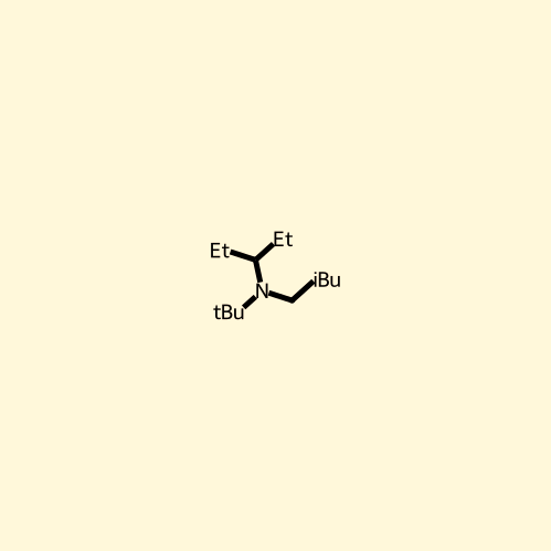 CCC(C)CN(C(CC)CC)C(C)(C)C